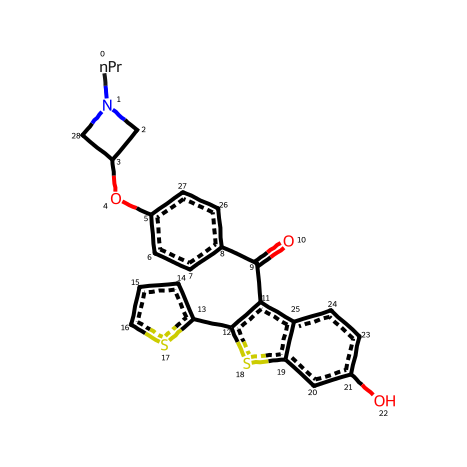 CCCN1CC(Oc2ccc(C(=O)c3c(-c4cccs4)sc4cc(O)ccc34)cc2)C1